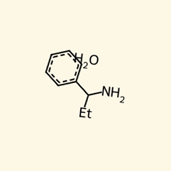 CCC(N)c1ccccc1.O